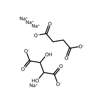 O=C([O-])C(O)C(O)C(=O)[O-].O=C([O-])CCC(=O)[O-].[Na+].[Na+].[Na+].[Na+]